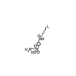 COc1cc(CNC(=O)CCCCC=CC(C)C)ccc1CN(CCCN)C(=O)O